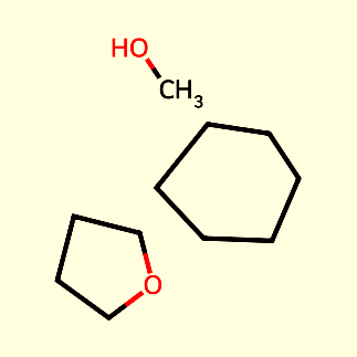 C1CCCCC1.C1CCOC1.CO